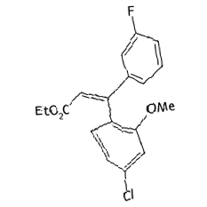 CCOC(=O)C=C(c1cccc(F)c1)c1ccc(Cl)cc1OC